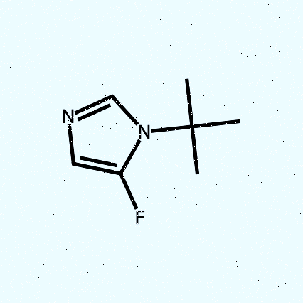 CC(C)(C)n1cncc1F